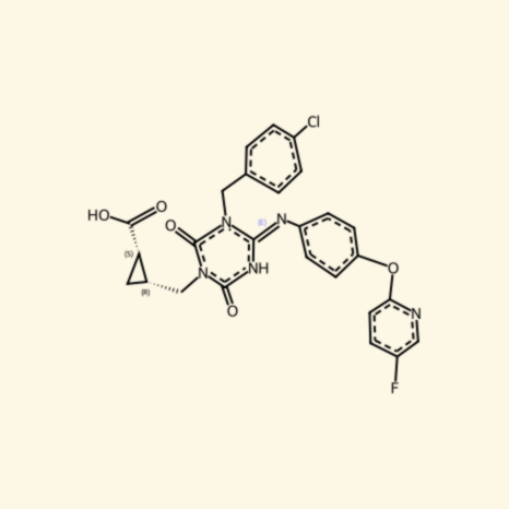 O=C(O)[C@H]1C[C@H]1Cn1c(=O)[nH]/c(=N\c2ccc(Oc3ccc(F)cn3)cc2)n(Cc2ccc(Cl)cc2)c1=O